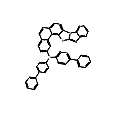 c1ccc(-c2ccc(N(c3ccc(-c4ccccc4)cc3)c3ccc4ccc5ccc6c(sc7nc8ccccc8n76)c5c4c3)cc2)cc1